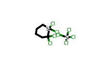 ClC1(Cl)CCCC[Si]1(Cl)Cl.Cl[Si](Cl)(Cl)Cl